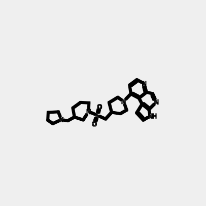 O=S(=O)(CC1CCN(c2ccnc3cnc4[nH]ccc4c23)CC1)N1CCCC(CN2CCCC2)C1